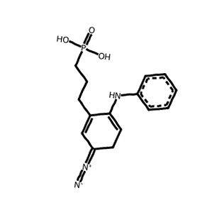 [N-]=[N+]=C1C=C(CCCP(=O)(O)O)C(Nc2ccccc2)=CC1